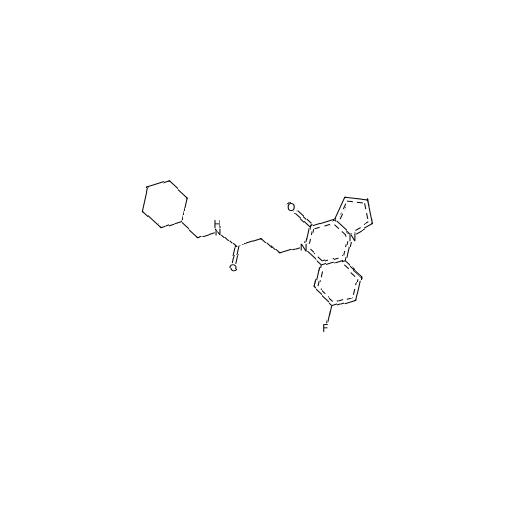 O=C(CCn1c(=O)c2cccn2c2ccc(F)cc21)NCC1CCCCC1